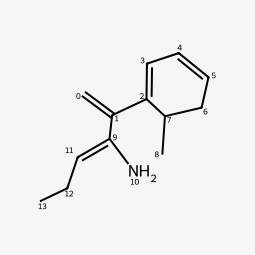 C=C(C1=CC=CCC1C)/C(N)=C/CC